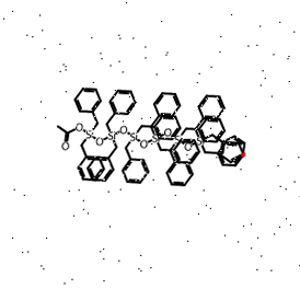 CC(=O)O[Si](Cc1ccccc1)(Cc1ccccc1)O[Si](Cc1ccccc1)(Cc1ccccc1)O[Si](Cc1ccccc1)(Cc1ccccc1)O[Si](Cc1ccccc1)(Cc1ccccc1)O[Si](Cc1ccccc1)(Cc1ccccc1)O[Si](Cc1ccccc1)(Cc1ccccc1)Cc1ccccc1